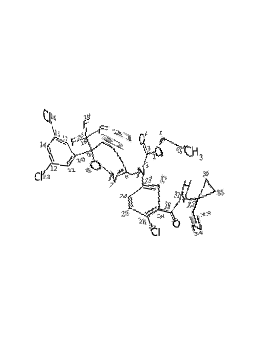 CCOC(=O)N(C1=NOC(c2cc(Cl)cc(Cl)c2)(C(F)(F)F)C1)c1ccc(Cl)c(C(=O)NC2(C#N)CC2)c1